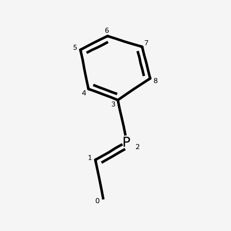 CC=Pc1ccccc1